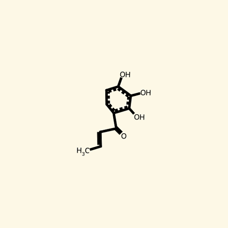 C/C=C/C(=O)c1ccc(O)c(O)c1O